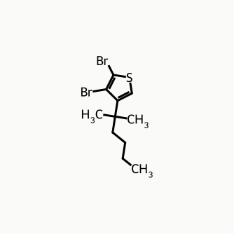 CCCCC(C)(C)c1csc(Br)c1Br